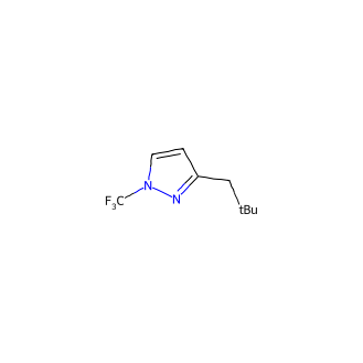 CC(C)(C)Cc1ccn(C(F)(F)F)n1